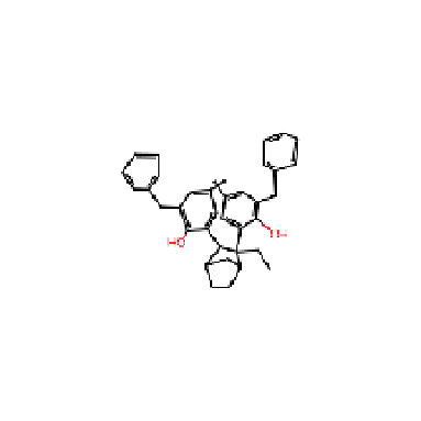 CCC1(c2cc(C)cc(Cc3ccccc3)c2O)C2CCC(C2)C1c1cc(C)cc(Cc2ccccc2)c1O